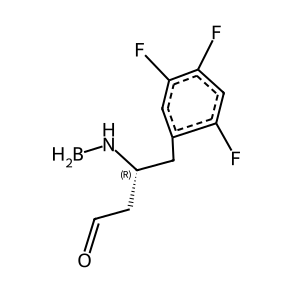 BN[C@@H](CC=O)Cc1cc(F)c(F)cc1F